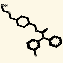 O=C(O)COCC1CCC(COC(=O)N(c2ccccc2)c2cccc(Cl)c2)CC1